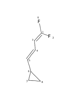 FC(F)=CC=CC1[CH]C1